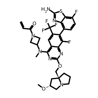 C=CC(=O)N1CC(N(C)c2nc(OC[C@@]34CCCN3C[C@H](OC)C4)nc3c(F)c(-c4ccc(F)c5sc(N)nc45)c(C(F)(F)F)cc23)C1